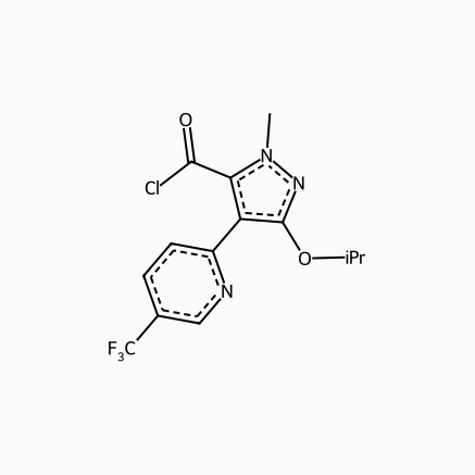 CC(C)Oc1nn(C)c(C(=O)Cl)c1-c1ccc(C(F)(F)F)cn1